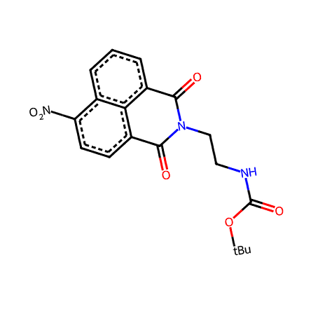 CC(C)(C)OC(=O)NCCN1C(=O)c2cccc3c([N+](=O)[O-])ccc(c23)C1=O